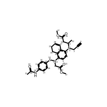 C#CCN(c1ccc(N(CC(=O)OC)Sc2ccc(NC(C)=O)cc2)c2c1C=CCC2)C(C)CC(=O)OC